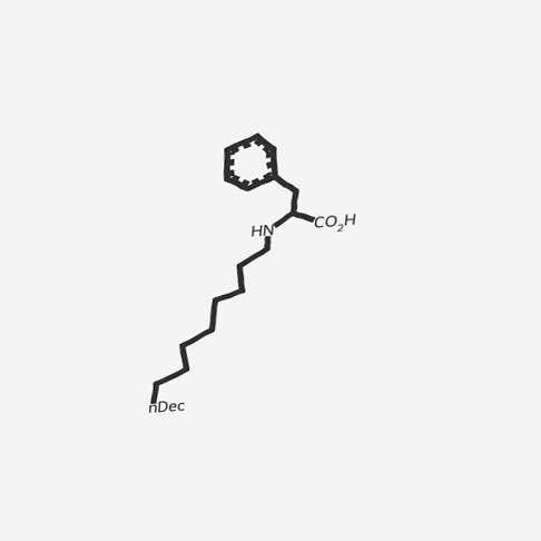 CCCCCCCCCCCCCCCCCCNC(Cc1ccccc1)C(=O)O